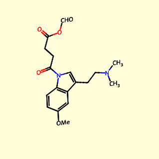 COc1ccc2c(c1)c(CCN(C)C)cn2C(=O)CCC(=O)OC=O